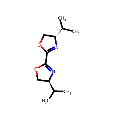 CC(C)[C@H]1COC(C2=N[C@@H](C(C)C)CO2)=N1